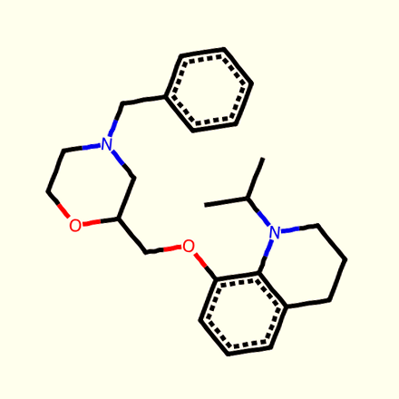 CC(C)N1CCCc2cccc(OCC3CN(Cc4ccccc4)CCO3)c21